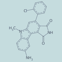 Cn1c2ccc(N)cc2c2c3c(c(-c4ccccc4Cl)cc21)C(=O)NC3=O